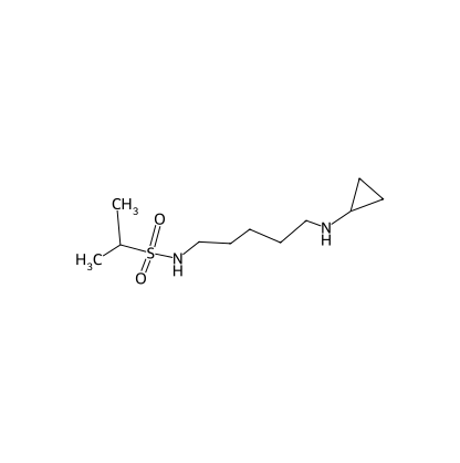 CC(C)S(=O)(=O)NCCCCCNC1CC1